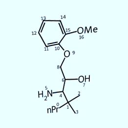 CCCC(C)(C)C(N)C(O)COc1ccccc1OC